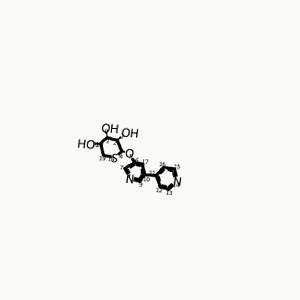 O[C@@H]1[C@@H](O)[C@H](Oc2cncc(-c3ccncc3)c2)SC[C@H]1O